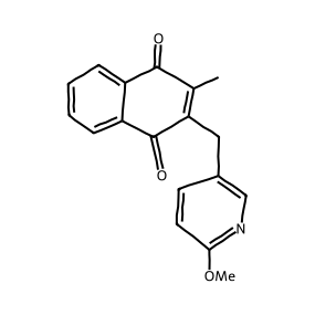 COc1ccc(CC2=C(C)C(=O)c3ccccc3C2=O)cn1